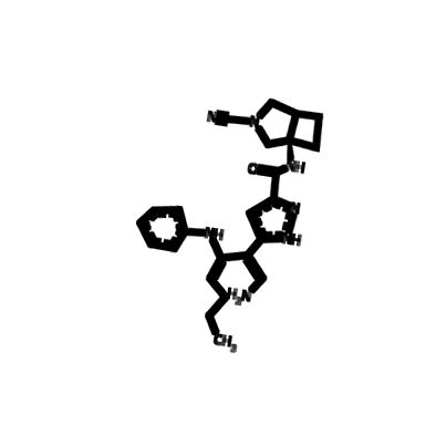 CCC/C=C(Nc1ccccc1)\C(=C/N)c1cc(C(=O)N[C@]23CCC2CN(C#N)C3)n[nH]1